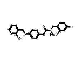 CCCCCCCN(Cc1ccc(F)cc1F)C(=O)Cc1ccc(SCc2ccccc2C(=O)O)cc1